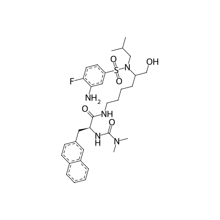 CC(C)CN(C(CO)CCCCNC(=O)[C@H](Cc1ccc2ccccc2c1)NC(=O)N(C)C)S(=O)(=O)c1ccc(F)c(N)c1